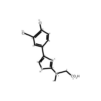 CN(CC(=O)O)c1nc(-c2ccc(Cl)c(Cl)c2)cs1